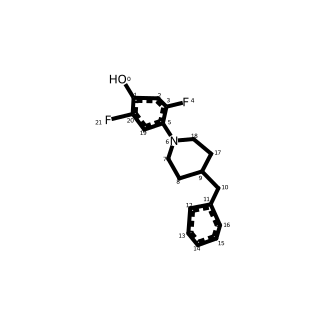 Oc1cc(F)c(N2CCC(Cc3ccccc3)CC2)cc1F